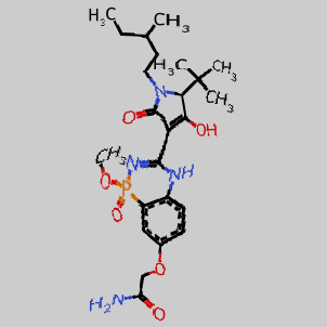 CCC(C)CCN1C(=O)C(C2=NP(=O)(OC)c3cc(OCC(N)=O)ccc3N2)=C(O)C1C(C)(C)C